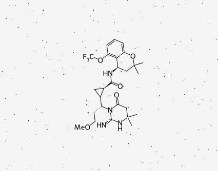 COCC[C@H](C1C[C@H]1C(=O)N[C@@H]1CC(C)(C)Oc2cccc(OC(F)(F)F)c21)N1C(=N)NC(C)(C)CC1=O